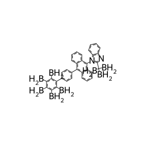 Bc1c(B)c(B)c(-c2ccc(-c3c4ccccc4c(-n4c(C(B)(B)B)nc5ccccc54)c4ccccc34)cc2)c(B)c1B